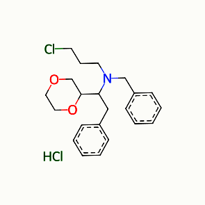 Cl.ClCCCN(Cc1ccccc1)C(Cc1ccccc1)C1COCCO1